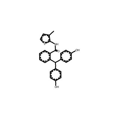 Cc1ccsc1NC(=O)c1ccccc1C(c1ccc(O)cc1)c1ccc(O)cc1